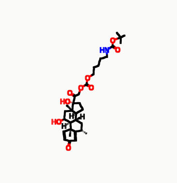 C[C@H]1C[C@@H]2[C@H]([C@@H](O)C[C@@]3(C)[C@H]2CC[C@]3(O)C(=O)COC(=O)OCCCCCNC(=O)OC(C)(C)C)[C@@]2(C)C=CC(=O)C=C12